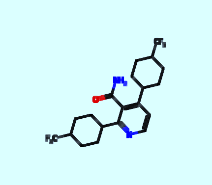 NC(=O)c1c(C2CCC(C(F)(F)F)CC2)ccnc1C1CCC(C(F)(F)F)CC1